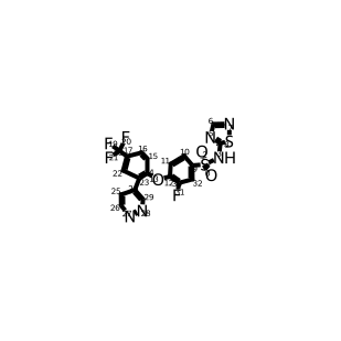 O=S(=O)(Nc1ncns1)c1ccc(Oc2ccc(C(F)(F)F)cc2-c2ccnnc2)c(F)c1